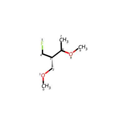 COC[C@H](CF)C(C)OC